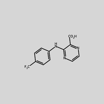 O=C(O)c1nccnc1Nc1ccc(C(F)(F)F)cc1